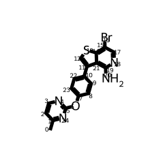 Cc1ccnc(Oc2ccc(-c3csc4c(Br)cnc(N)c34)cc2)n1